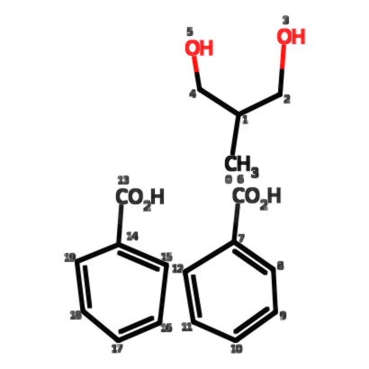 CC(CO)CO.O=C(O)c1ccccc1.O=C(O)c1ccccc1